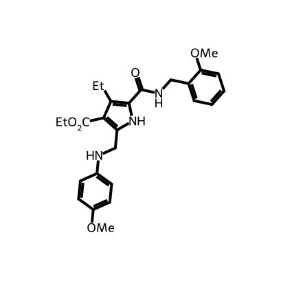 CCOC(=O)c1c(CNc2ccc(OC)cc2)[nH]c(C(=O)NCc2ccccc2OC)c1CC